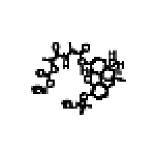 CC1CC[C@]23c4c5ccc(O[Si](C)(C)C(C)(C)C)c4O[C@H]2C(OC(=O)[C@H](C)NC(=O)[C@H](C)OC(=O)OC(C)(C)C)=CC[C@@]3(O)[C@H]1C5